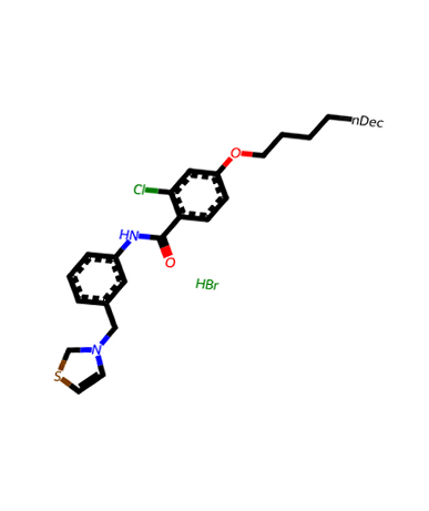 Br.CCCCCCCCCCCCCCOc1ccc(C(=O)Nc2cccc(CN3C=CSC3)c2)c(Cl)c1